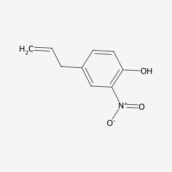 C=CCc1ccc(O)c([N+](=O)[O-])c1